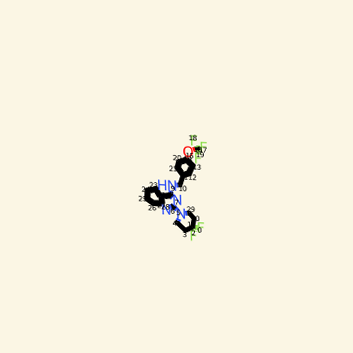 FC1(F)CCN(c2nc(NCc3ccc(OC(F)(F)F)cc3)c3ccccc3n2)CC1